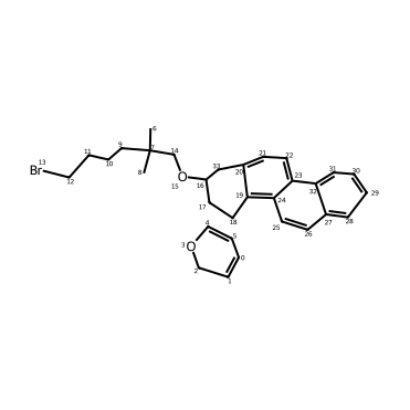 C1=CCOC=C1.CC(C)(CCCCBr)COC1CCc2c(ccc3c2ccc2ccccc23)C1